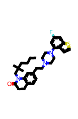 CCCCC(C)(C)CN1C(=O)CCc2ccc(CCN3CCN(c4cc(F)cc5sccc45)CC3)cc21